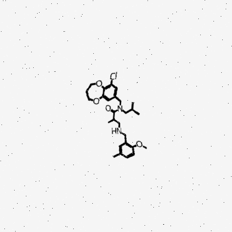 COc1ccc(C)cc1CNCC(C)C(=O)N(Cc1cc(Cl)c2c(c1)OCCCO2)CC(C)C